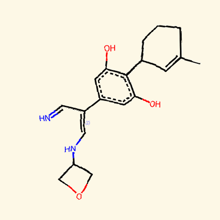 CC1=CC(c2c(O)cc(/C(C=N)=C/NC3COC3)cc2O)CCC1